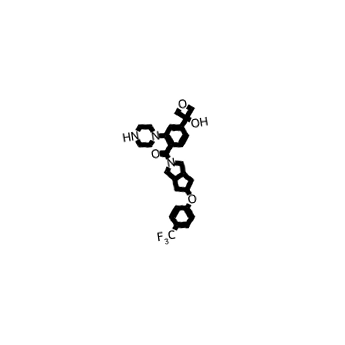 O=C(c1ccc(C2(O)COC2)cc1N1CCNCC1)N1CC2CC(Oc3ccc(C(F)(F)F)cc3)CC2C1